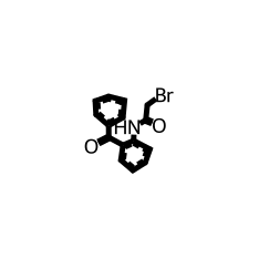 O=C(CBr)Nc1ccccc1C(=O)c1ccccc1